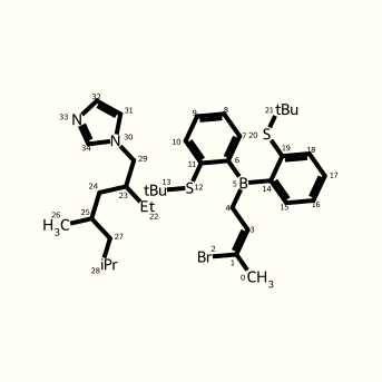 CC(Br)=CCB(c1ccccc1SC(C)(C)C)c1ccccc1SC(C)(C)C.CCC(CC(C)CC(C)C)Cn1ccnc1